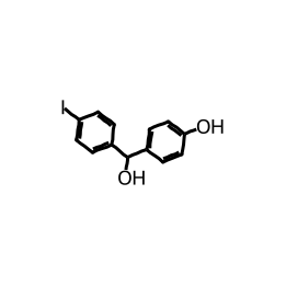 Oc1ccc(C(O)c2ccc(I)cc2)cc1